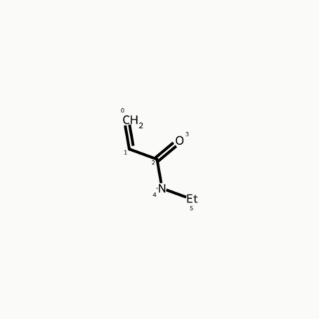 C=CC(=O)[N]CC